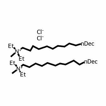 CCCCCCCCCCCCCCCCCCCC[N+](C)(CC)CC.CCCCCCCCCCCCCCCCCCCC[N+](C)(CC)CC.[Cl-].[Cl-]